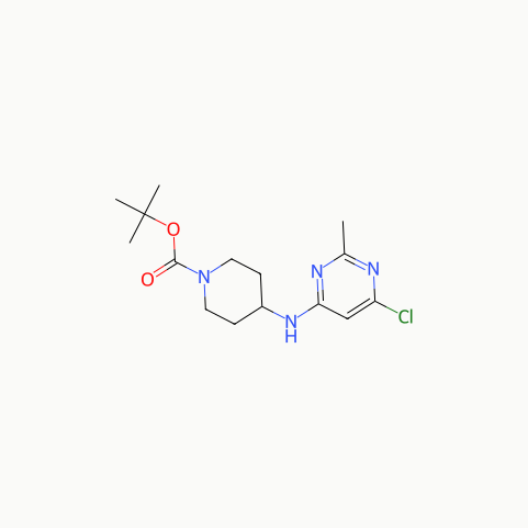 Cc1nc(Cl)cc(NC2CCN(C(=O)OC(C)(C)C)CC2)n1